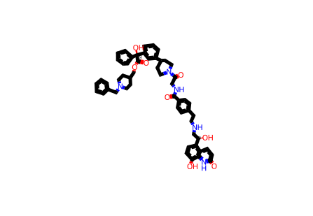 O=C(NCC(=O)N1CCC(c2cccc([C@](O)(C(=O)OCC3CCN(Cc4ccccc4)CC3)c3ccccc3)c2)CC1)c1ccc(CCNC[C@H](O)c2ccc(O)c3[nH]c(=O)ccc23)cc1